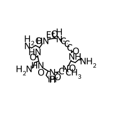 CCC1NC(=O)C(CCN)NC(=O)C(CCN)NC(=O)C(CC(C)C)NC(=O)CN(C)C(=O)C(CCN)NC(=O)CCCNC1=O